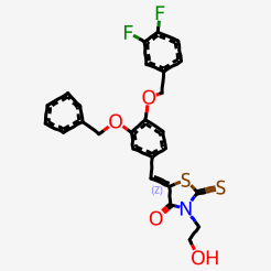 O=C1/C(=C/c2ccc(OCc3ccc(F)c(F)c3)c(OCc3ccccc3)c2)SC(=S)N1CCO